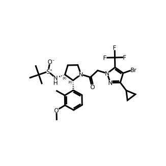 COc1cccc([C@@H]2[C@H](N[S+]([O-])C(C)(C)C)CCN2C(=O)Cn2nc(C3CC3)c(Br)c2C(F)(F)F)c1C